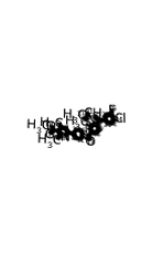 COC(=O)c1c(C)cc(C2=CCN(C(=O)c3ccc4c(-c5ccc(Cl)c(F)c5)cn(C(C)(C)C)c4n3)CC2)nc1C